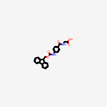 O=C(O)CNC(=O)c1ccc(NC(=O)OCC2c3ccccc3-c3ccccc32)cc1